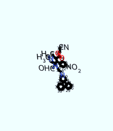 CC1=C(C(=O)OCCC#N)C(c2ccc([N+](=O)[O-])cc2)C(N(C=O)CCCN2CCC(c3ccccc3)(c3ccccc3)CC2)=CN1C